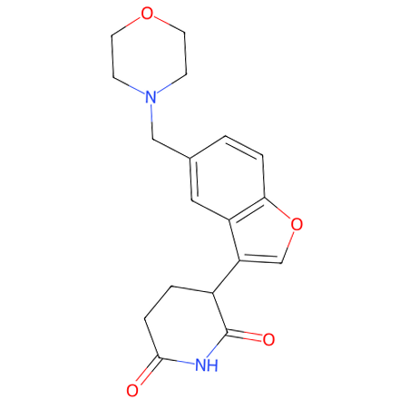 O=C1CCC(c2coc3ccc(CN4CCOCC4)cc23)C(=O)N1